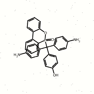 C=P1(C(c2ccc(N)cc2)(c2ccc(N)cc2)c2ccc(O)cc2)Oc2ccccc2-c2ccccc21